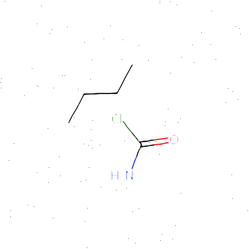 CCCC.NC(=O)Cl